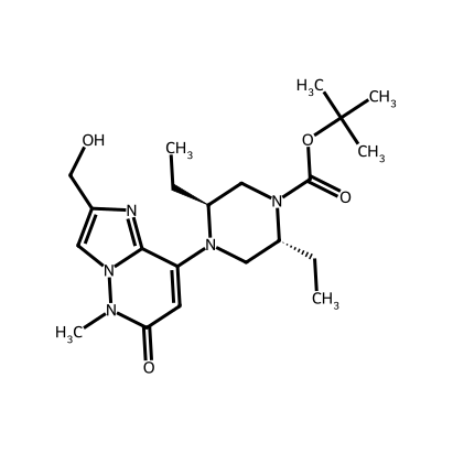 CC[C@@H]1CN(c2cc(=O)n(C)n3cc(CO)nc23)[C@@H](CC)CN1C(=O)OC(C)(C)C